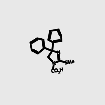 CSC1=NC(c2ccccc2)(c2ccccc2)CN1C(=O)O